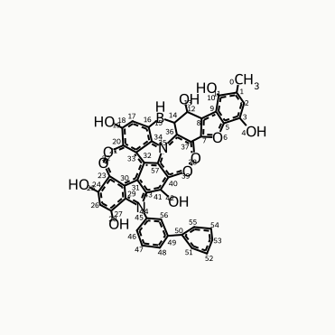 Cc1cc(O)c2oc3c(c2c1O)C(O)C1Bc2cc(O)c4ooc5c(O)cc(O)c6c5c5c7c4c2n2c1c-3ooc(c(O)c5n6-c1cccc(-c3ccccc3)c1)c72